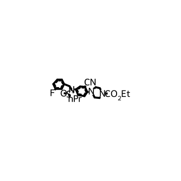 CCC[S+]([O-])N(Cc1cccc(F)c1)c1ccc(N2CCN(C(=O)OCC)CC2)c(C#N)c1